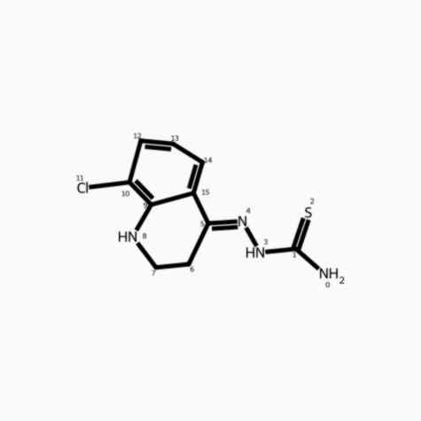 NC(=S)NN=C1CCNc2c(Cl)cccc21